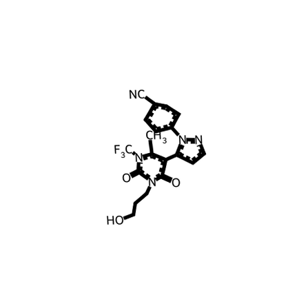 Cc1c(-c2ccnn2-c2ccc(C#N)cc2)c(=O)n(CCCO)c(=O)n1C(F)(F)F